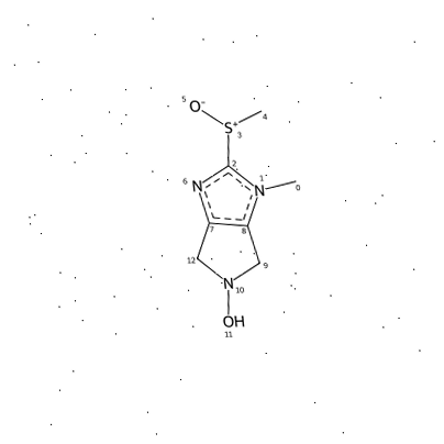 Cn1c([S+](C)[O-])nc2c1CN(O)C2